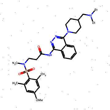 CCN(CC)CC1CCN(c2nnc(NC(=O)CCN(C)S(=O)(=O)c3c(C)cc(OC)cc3C)c3ccccc23)CC1